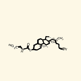 CC(C)CCC[C@@H](C)[C@H]1CCC2C3CC=C4CC(OC(=O)NCC(=O)O)CC[C@]4(C)C3CC[C@@]21C